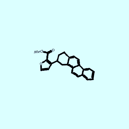 COC(=O)c1occc1C1CCc2ccc3c(ccc4ccccc43)c2C1